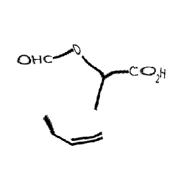 C=CC.CC(OC=O)C(=O)O